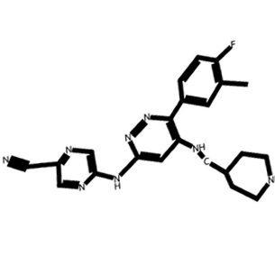 Cc1cc(-c2nnc(Nc3cnc(C#N)cn3)cc2NCC2CCNCC2)ccc1F